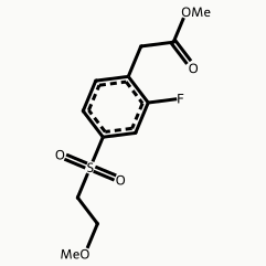 COCCS(=O)(=O)c1ccc(CC(=O)OC)c(F)c1